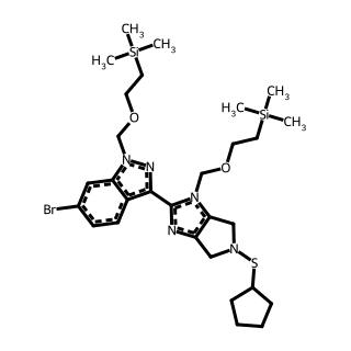 C[Si](C)(C)CCOCn1c(-c2nn(COCC[Si](C)(C)C)c3cc(Br)ccc23)nc2c1CN(SC1CCCC1)C2